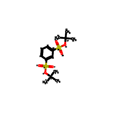 C[Si](C)(C)OS(=O)(=O)c1cccc(S(=O)(=O)O[Si](C)(C)C)c1